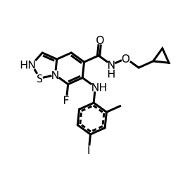 Cc1cc(I)ccc1NC1=C(F)N2SNC=C2C=C1C(=O)NOCC1CC1